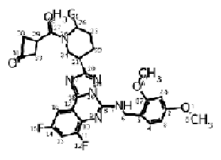 COc1ccc(CNc2nc3c(F)cc(F)cc3c3nc([C@@H]4CC[C@H](C)N(C(=O)C5CC(=O)C5)C4)nn23)c(OC)c1